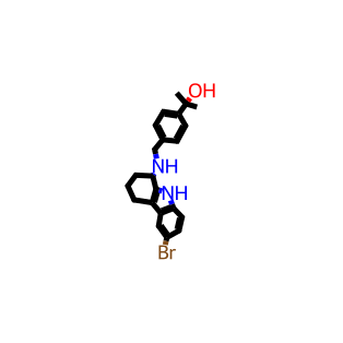 CC(C)(O)c1ccc(CNC2CCCc3c2[nH]c2ccc(Br)cc32)cc1